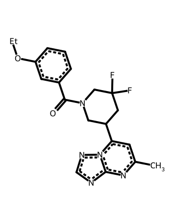 CCOc1cccc(C(=O)N2CC(c3cc(C)nc4ncnn34)CC(F)(F)C2)c1